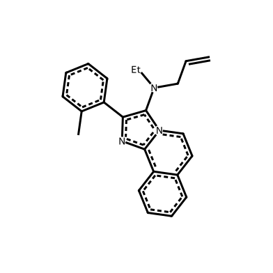 C=CCN(CC)c1c(-c2ccccc2C)nc2c3ccccc3ccn12